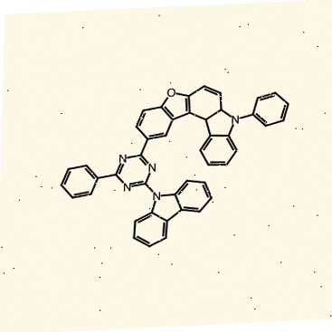 C1=CC2C(c3ccccc3N2c2ccccc2)c2c1oc1ccc(-c3nc(-c4ccccc4)nc(-n4c5ccccc5c5ccccc54)n3)cc21